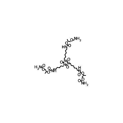 CC(COCN)OC(=O)NCCCCCCn1c(=O)n(CCCCCCNC(=O)OC(C)COC(N)=O)c(=O)n(CCCCCCNC(=O)OC(C)COC(N)=O)c1=O